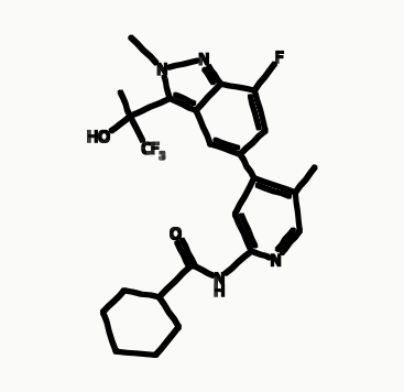 Cc1cnc(NC(=O)C2CCCCC2)cc1-c1cc(F)c2nn(C)c(C(C)(O)C(F)(F)F)c2c1